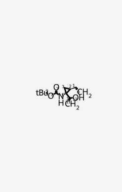 C=C[C@@H]1C[C@]1(NC(=O)OC(C)(C)C)C(=C)O